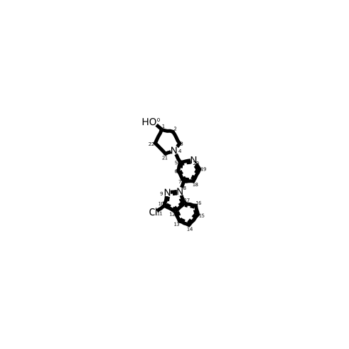 OC1CCN(c2cc(-n3nc(Cl)c4ccccc43)ccn2)CC1